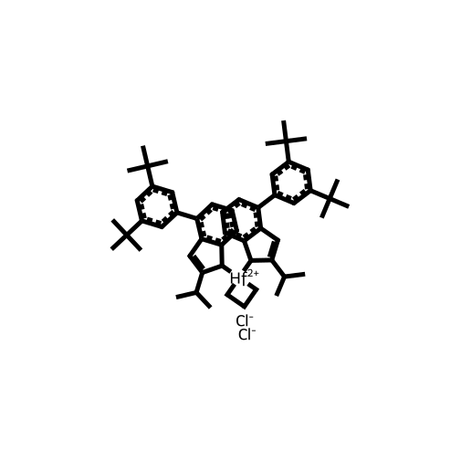 CC(C)C1=Cc2c(-c3cc(C(C)(C)C)cc(C(C)(C)C)c3)cccc2[CH]1[Hf+2]1([CH]2C(C(C)C)=Cc3c(-c4cc(C(C)(C)C)cc(C(C)(C)C)c4)cccc32)[CH2]C[CH2]1.[Cl-].[Cl-]